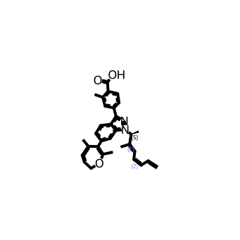 C=C/C=C\C=C(/C)[C@H](C)n1nc(-c2ccc(C(=O)O)c(C)c2)c2ccc(C3=C(C)OCC=C=C3C)cc21